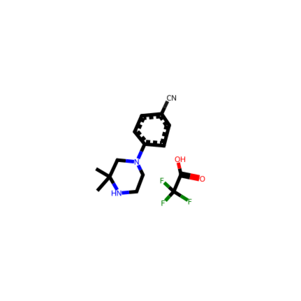 CC1(C)CN(c2ccc(C#N)cc2)CCN1.O=C(O)C(F)(F)F